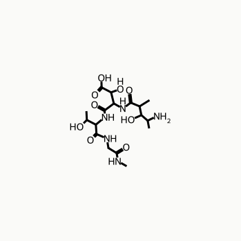 CNC(=O)CNC(=O)C(NC(=O)C(NC(=O)C(C)C(O)C(C)N)C(O)C(=O)O)C(C)O